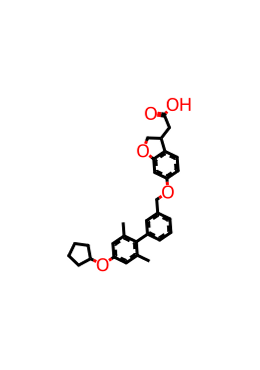 Cc1cc(OC2CCCC2)cc(C)c1-c1cccc(COc2ccc3c(c2)OCC3CC(=O)O)c1